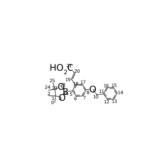 CC1(C)OB(c2ccc(OCc3ccccc3)cc2/C=C/C(=O)O)OC1(C)C